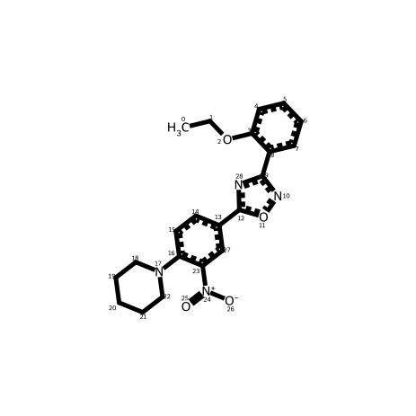 CCOc1ccccc1-c1noc(-c2ccc(N3CCCCC3)c([N+](=O)[O-])c2)n1